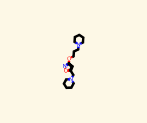 c1c(OCCCN2CCCCC2)noc1CN1CCCCC1